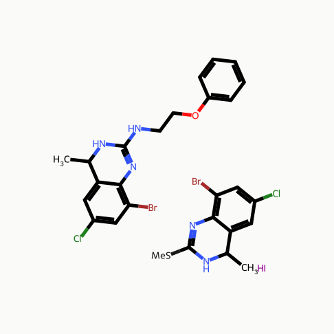 CC1NC(NCCOc2ccccc2)=Nc2c(Br)cc(Cl)cc21.CSC1=Nc2c(Br)cc(Cl)cc2C(C)N1.I